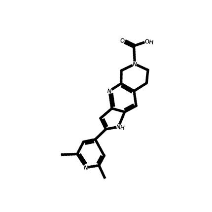 Cc1cc(-c2cc3nc4c(cc3[nH]2)CCN(C(=O)O)C4)cc(C)n1